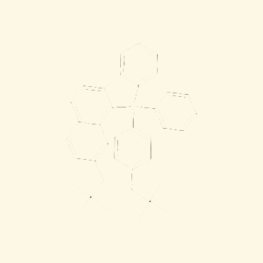 CC(C)(C)Cc1ccc(S2(c3ccccc3)c3ccccc3-c3ccc4ccc(CC(C)(C)C)cc4c32)cc1